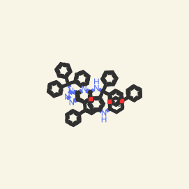 C(/CNC12CCC(c3ccccc3)(CC1)CC2)=C(\c1ccccc1)c1cc(NC(c2ccccc2)(c2ccccc2)c2ccccc2)nc2c1nnn2C(c1ccccc1)(c1ccccc1)c1ccccc1